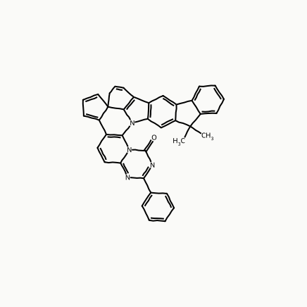 CC1(C)c2ccccc2-c2cc3c4c5n(c3cc21)-c1c(ccc2nc(-c3ccccc3)nc(=O)n12)C1=CC=CC15CC=C4